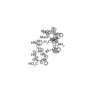 CCCCN(CCSSC[C@@H]1NC(=O)[C@@H](Cc2ccccc2)NC(=O)[C@H](CC(=O)O)NC(=O)CNC(=O)[C@H](CCCNC(=N)N)NC1=O)C(=O)O[C@@H](C(=O)O[C@H]1C[C@@]2(O)[C@@H](OC(=O)c3ccccc3)[C@@H]3[C@]4(OC(C)=O)CO[C@@H]4C[C@H](OC)[C@@]3(C)C(=O)[C@H](OC)C(=C1C)C2(C)C)[C@@H](N)c1ccccc1